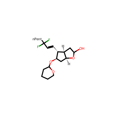 CCCCCC(F)(F)/C=C/[C@@H]1[C@H]2CC(O)O[C@H]2C[C@H]1OC1CCCCO1